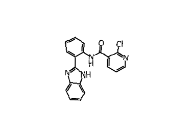 O=C(Nc1ccccc1-c1nc2ccccc2[nH]1)c1cccnc1Cl